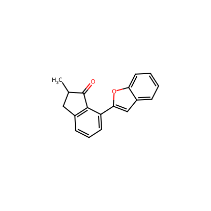 CC1Cc2cccc(-c3cc4ccccc4o3)c2C1=O